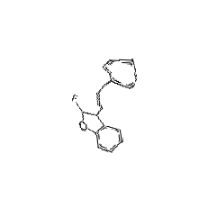 FC1Oc2ccccc2C1C=Cc1ccccc1